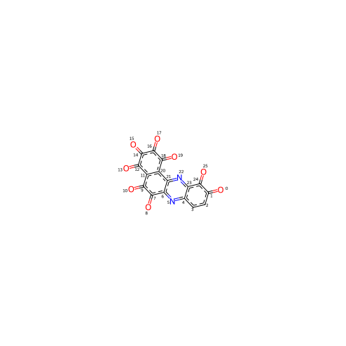 O=c1ccc2nc3c(=O)c(=O)c4c(=O)c(=O)c(=O)c(=O)c4c3nc2c1=O